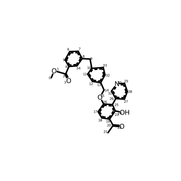 COC(=O)c1cccc(Cc2ccc(COc3ccc(C(C)=O)c(O)c3-c3cccnc3)cc2)c1